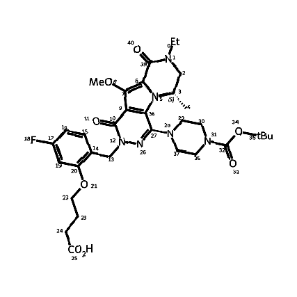 CCN1C[C@H](C)n2c(c(OC)c3c(=O)n(Cc4ccc(F)cc4OCCCC(=O)O)nc(N4CCN(C(=O)OC(C)(C)C)CC4)c32)C1=O